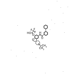 CC(C)N1CCC2(CC1)COc1ccc(NC(=O)c3cccc(-c4ccccc4)c3)cc12.O=C(O)C(F)(F)F